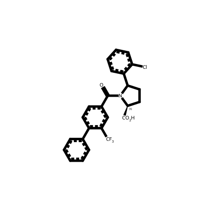 O=C(O)[C@@H]1CCC(c2ccccc2Cl)N1C(=O)c1ccc(-c2ccccc2)c(C(F)(F)F)c1